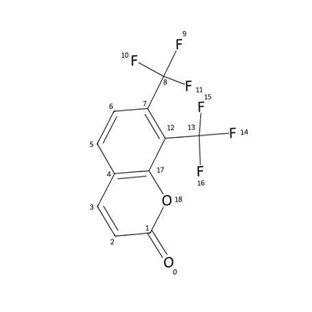 O=c1ccc2ccc(C(F)(F)F)c(C(F)(F)F)c2o1